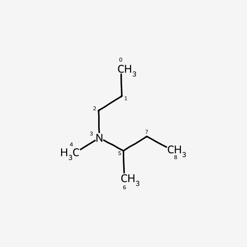 CCCN(C)C(C)CC